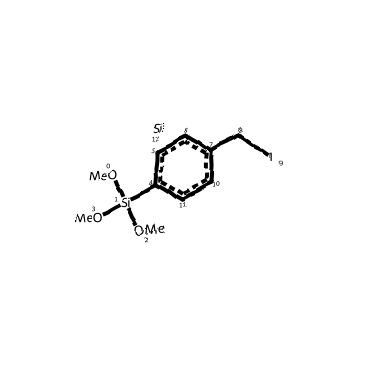 CO[Si](OC)(OC)c1ccc(CI)cc1.[Si]